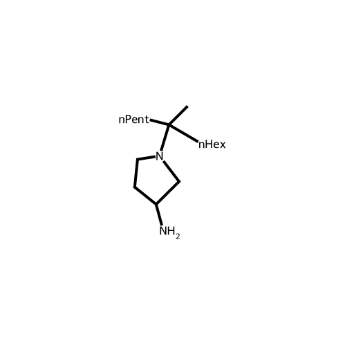 CCCCCCC(C)(CCCCC)N1CCC(N)C1